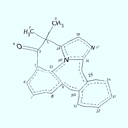 CC1(C)C(=O)c2cccc3c4ccccc4c4ncc1n4c23